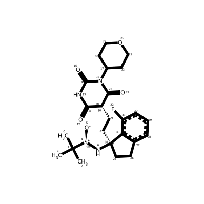 CC(C)(C)[S@@+]([O-])N[C@]1(CC[C@@H]2C(=O)NC(=O)N(C3CCOCC3)C2=O)CCc2cccc(F)c21